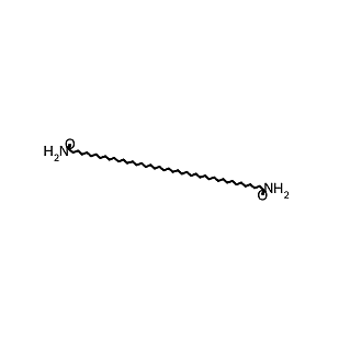 NC(=O)CCCCCCCCCCCCCCCCCCCCCCCCCCCCCCCCCCCCCCCCCCC(N)=O